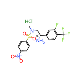 CN(C[C@@H](N)c1ccc(C(F)(F)F)c(F)c1)S(=O)(=O)c1ccc([N+](=O)[O-])cc1.Cl